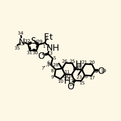 CCC(NC(=O)C[C@@H](C)C1CC[C@H]2C3C(=O)CC4CC(=O)CCC4(C)[C@H]3CCC12C)c1ccc(N(C)C)s1